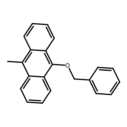 Cc1c2ccccc2c(OCc2ccccc2)c2ccccc12